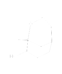 CC12CC(CCC1O)COO2